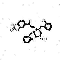 O=C(CCN1C(Cc2ccccc2Cl)CN(C(=O)O)CC1Cc1ccccc1Cl)c1ccc2[nH]c(=O)oc2c1